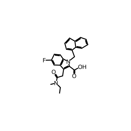 CCN(C)C(=O)Cc1c(C(=O)O)n(Cc2cccc3ccccc23)c2ccc(F)cc12